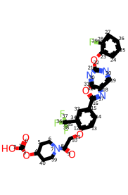 O=C(O)OC1CCN(C(=O)COc2ccc(-c3nc4cnc(Oc5ccccc5F)nc4o3)cc2C(F)(F)F)CC1